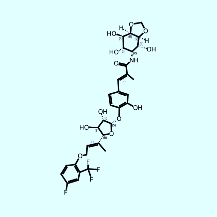 C/C(=C\c1ccc(O[C@@H]2O[C@H](/C(C)=C/COc3ccc(F)cc3C(F)(F)F)[C@@H](O)[C@@H]2O)c(O)c1)C(=O)N[C@@H]1[C@H](O)[C@@H](O)[C@H]2OCO[C@H]2[C@@H]1O